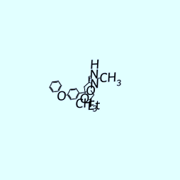 CCC1COC(Cc2c[nH]c(C)n2)(c2ccc(Oc3ccccc3)cc2C)O1